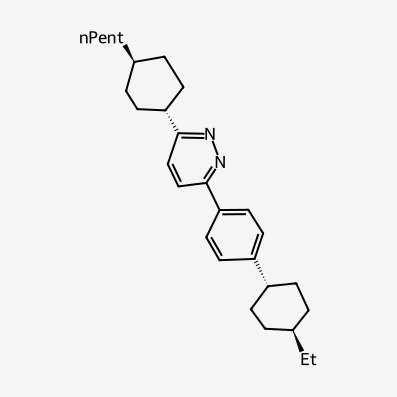 CCCCC[C@H]1CC[C@H](c2ccc(-c3ccc([C@H]4CC[C@H](CC)CC4)cc3)nn2)CC1